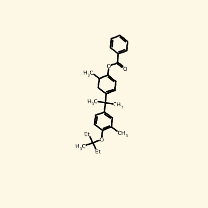 CCC(C)(CC)Oc1ccc(C(C)(C)C2=CC=C(OC(=O)c3ccccc3)C(C)C2)cc1C